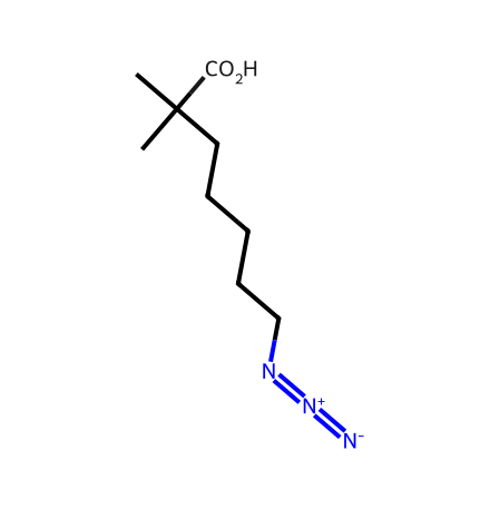 CC(C)(CCCCCN=[N+]=[N-])C(=O)O